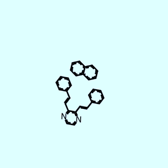 C(=C\c1nccnc1/C=C/c1ccccc1)/c1ccccc1.c1ccc2ccccc2c1